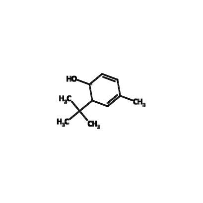 CC1=CC(C(C)(C)C)[C](O)C=C1